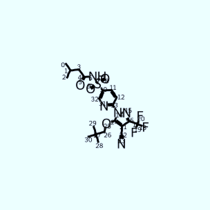 CC(C)CC(=O)NS(=O)(=O)c1ccc(-n2nc(C(F)(F)F)c(C#N)c2OCC(C)(C)C)nc1